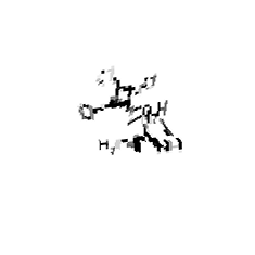 N=C(N)N.O=C(O)C1=C(Cl)C(Cl)N1Cl